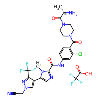 C[C@H](N)C(=O)N1CCN(C(=O)c2ccc(NC(=O)c3ncc(-c4cn(CC#N)nc4C(F)(F)F)n3C)cc2Cl)CC1.O=C(O)C(F)(F)F